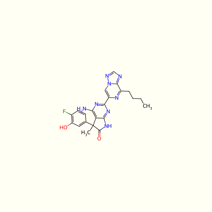 CCCCc1nc(-c2nc(N)c3c(n2)NC(=O)C3(C)c2ccc(F)c(O)c2)cn2ncnc12